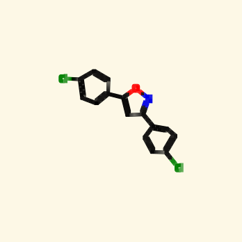 Clc1ccc(-c2cc(-c3ccc(Cl)cc3)on2)cc1